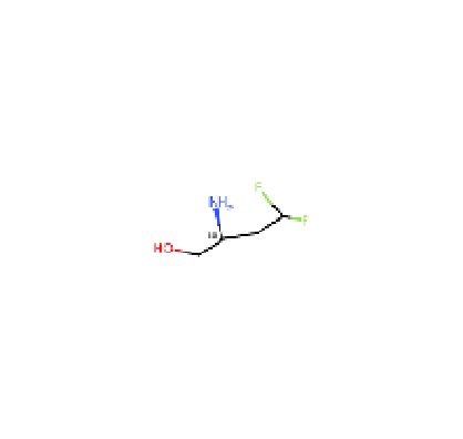 N[C@H](CO)CC(F)F